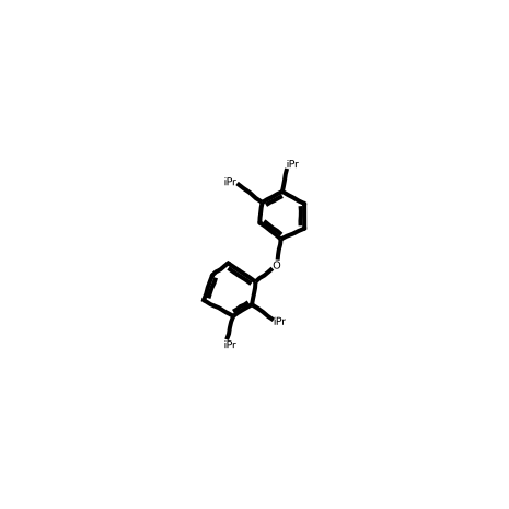 CC(C)c1ccc(Oc2cccc(C(C)C)c2C(C)C)cc1C(C)C